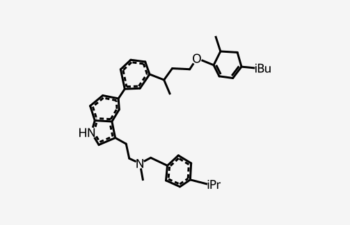 CCC(C)C1=CC=C(OCCC(C)c2cccc(-c3ccc4[nH]cc(CCN(C)Cc5ccc(C(C)C)cc5)c4c3)c2)C(C)C1